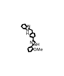 COc1ccccc1-c1nc(-c2ccc(Cc3nc4ccccc4[nH]3)cc2)c[nH]1